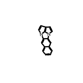 c1ccc2cc3c(cc2c1)n1ccc2ccn3c21